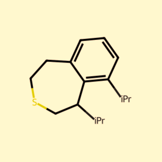 CC(C)c1cccc2c1C(C(C)C)CSCC2